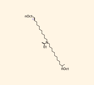 C=C(CC)N(CCCCCCCCC/C=C/CCCCCCCC)CCCCCCCCCCC(C)CCCCCCCC